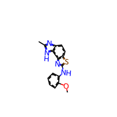 COc1ccccc1Nc1nc2c(ccc3nc(C)[nH]c32)s1